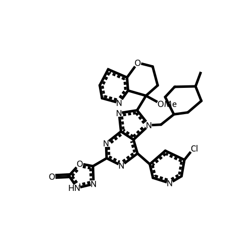 COC1(c2nc3nc(-c4n[nH]c(=O)o4)nc(-c4cncc(Cl)c4)c3n2CC2CCC(C)CC2)CCOc2cccnc21